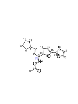 CC(=O)O/N=C(\CCC1CCCC1)C1CC=C(c2ccco2)O1